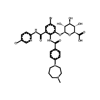 CN1CCCN(c2ccc(C(=O)Nc3c(O[C@@H]4O[C@H](C(=O)O)[C@@H](O)[C@H](O)[C@H]4O)cc(Br)cc3C(=O)Nc3ccc(Cl)cn3)cc2)CC1